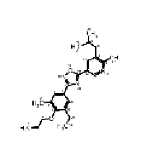 CCCOc1c(C)cc(-c2noc(-c3cnc(C)c(CC(C)C)c3)n2)cc1CC